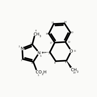 Cc1ncc(C(=O)O)n1[C@H]1C[C@H](C)Oc2ccccc21